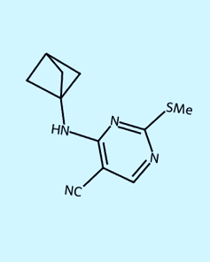 CSc1ncc(C#N)c(NC23CC(C2)C3)n1